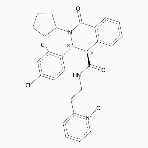 O=C(NCCc1cccc[n+]1[O-])[C@@H]1c2ccccc2C(=O)N(C2CCCC2)[C@H]1c1ccc(Cl)cc1Cl